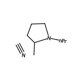 C#N.CCCN1CCCC1C